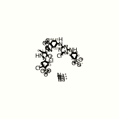 Cc1[nH]n(-c2cc(Cl)c(S(=O)(=O)[O-])cc2Cl)c(=O)c1N=Nc1cc(Nc2nc(Cl)nc(Nc3ccc(S(=O)(=O)[O-])cc3)n2)ccc1S(=O)(=O)[O-].[Na+].[Na+].[Na+]